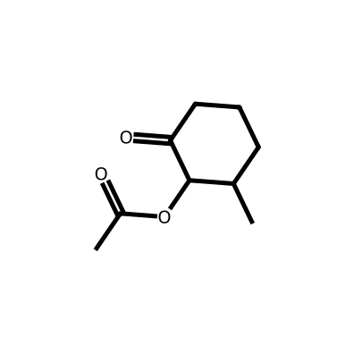 CC(=O)OC1C(=O)CCCC1C